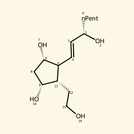 CCCCC[C@H](O)C=CC1[C@@H](O)C[C@@H](O)[C@H]1CCO